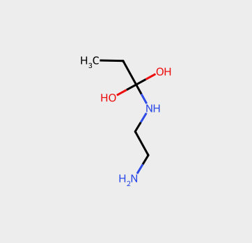 CCC(O)(O)NCCN